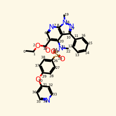 CCOC(=O)c1cnc2c(c(-c3ccccc3)nn2C)c1N(C)S(=O)(=O)c1ccc(Oc2ccncc2)cc1